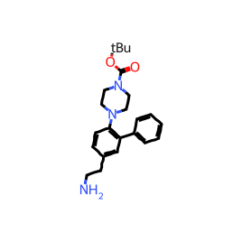 CC(C)(C)OC(=O)N1CCN(c2ccc(CCN)cc2-c2ccccc2)CC1